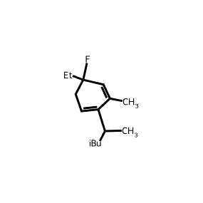 CCC(C)C(C)C1=CCC(F)(CC)C=C1C